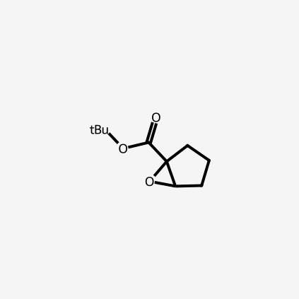 CC(C)(C)OC(=O)C12CCCC1O2